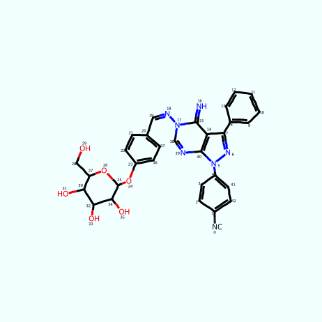 [C-]#[N+]c1ccc(-n2nc(-c3ccccc3)c3c(=N)n(/N=C\c4ccc(OC5OC(CO)C(O)C(O)C5O)cc4)cnc32)cc1